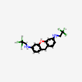 FC(F)(F)CNc1ccc2c(c1)Oc1cc(NCC(F)(F)F)ccc1C2